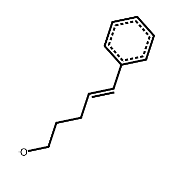 [O]CCCC=Cc1ccccc1